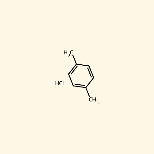 Cc1ccc(C)cc1.Cl